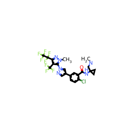 C=NCC1(NC(=O)c2cc(-c3cnn(-c4c(C(F)(F)F)c(C(F)(F)C(F)(F)F)nn4C)c3)ccc2Cl)CC1